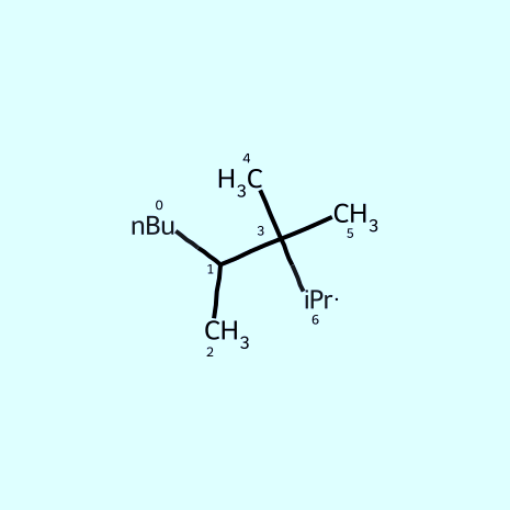 CCCCC(C)C(C)(C)[C](C)C